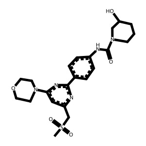 CS(=O)(=O)Cc1cc(N2CCOCC2)nc(-c2ccc(NC(=O)N3CCCC(O)C3)cc2)n1